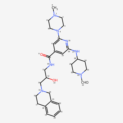 CN1CCN(c2cc(C(=O)NCC(O)CN3CCc4ccccc4C3)cc(NC3CCN(C=O)CC3)n2)CC1